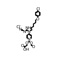 N#CN=C(N)N(CCCCCCOc1ccc(Cl)cc1)c1cc[n+](C(OC=O)OCC(=O)O)cc1.[Cl-]